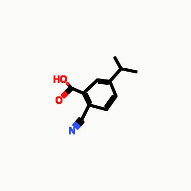 CC(C)c1ccc(C#N)c(C(=O)O)c1